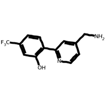 NCc1ccnc(-c2ccc(C(F)(F)F)cc2O)c1